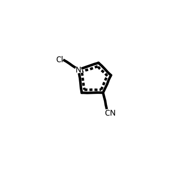 N#Cc1ccn(Cl)c1